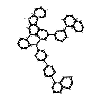 c1cc(-c2cccc(N(c3ccc(-c4ccc(-c5cccc6ccccc56)cc4)cc3)c3ccccc3-c3ccc4c(c3)oc3ccccc34)c2)cc(-c2cccc3ccccc23)c1